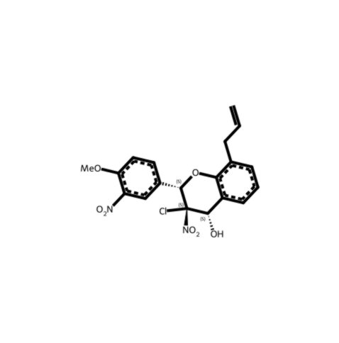 C=CCc1cccc2c1O[C@@H](c1ccc(OC)c([N+](=O)[O-])c1)[C@](Cl)([N+](=O)[O-])[C@H]2O